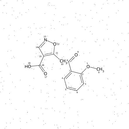 COc1ccccc1C=O.Cc1oncc1C(=O)O